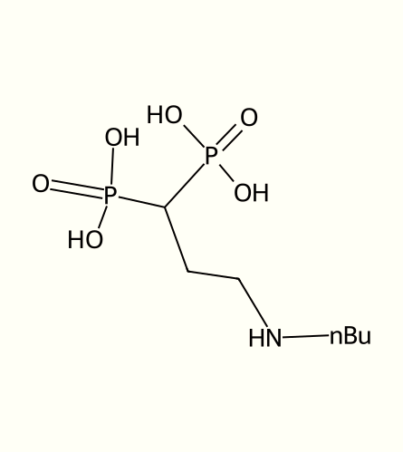 CCCCNCCC(P(=O)(O)O)P(=O)(O)O